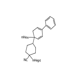 CCCCCCCC1(C#N)CCC(C2(CCCCCC)C=CC(c3ccccc3)=CC2)CC1